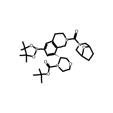 CC(C)(C)OC(=O)N1CCOC[C@H]1c1cc(B2OC(C)(C)C(C)(C)O2)cc2c1CN(C(=O)N1CC3CCC(C1)O3)CC2